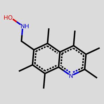 Cc1nc2c(C)c(C)c(CNO)c(C)c2c(C)c1C